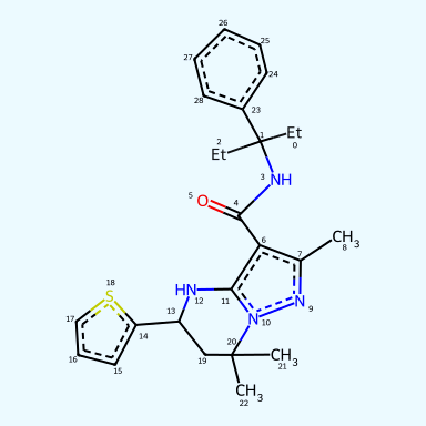 CCC(CC)(NC(=O)c1c(C)nn2c1NC(c1cccs1)CC2(C)C)c1ccccc1